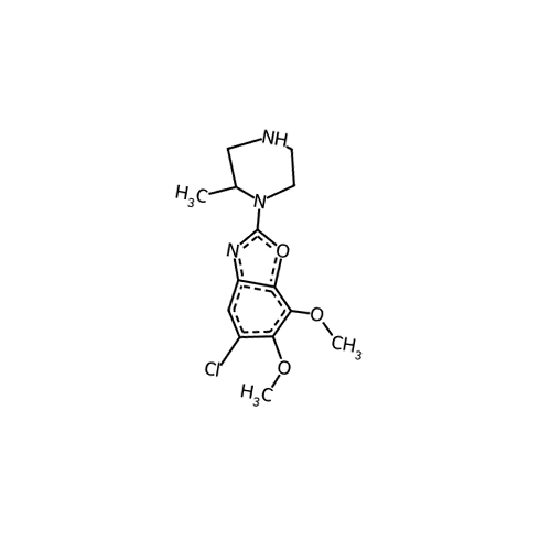 COc1c(Cl)cc2nc(N3CCNCC3C)oc2c1OC